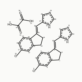 Clc1ccc2c(c1)CCC2=Cc1cnc[nH]1.Clc1ccc2c(c1)CCC2=Cc1cnc[nH]1.O=C(O)C(=O)O